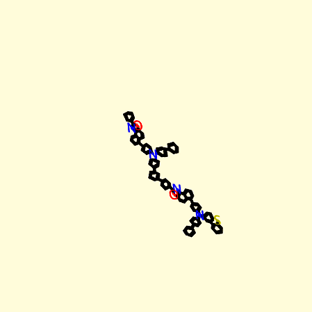 c1ccc(-c2ccc(N(c3ccc(-c4cccc(-c5ccc(-c6nc7c(ccc8c(-c9ccc(N(c%10ccc(-c%11ccccc%11)cc%10)c%10ccc%11sc%12ccccc%12c%11c%10)cc9)cccc87)o6)cc5)c4)cc3)c3ccc(-c4cccc5c4ccc4oc(-c6ccccc6)nc45)cc3)cc2)cc1